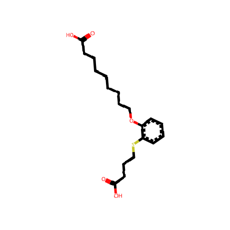 O=C(O)CCCCCCCCOc1ccccc1SCCCC(=O)O